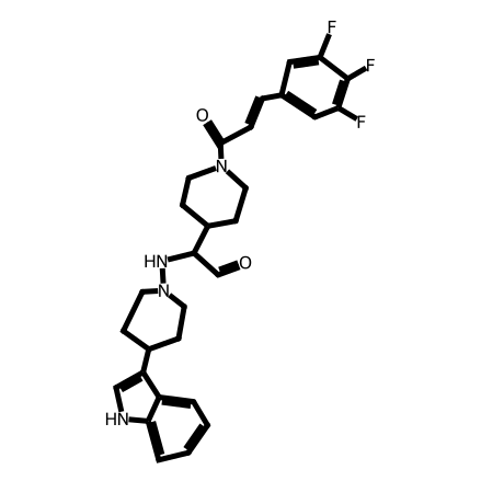 O=CC(NN1CCC(c2c[nH]c3ccccc23)CC1)C1CCN(C(=O)/C=C/c2cc(F)c(F)c(F)c2)CC1